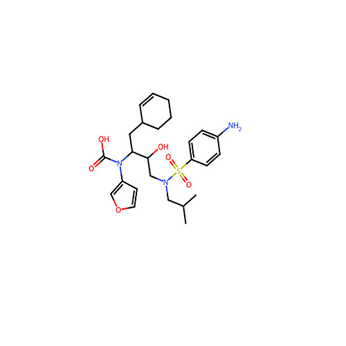 CC(C)CN(CC(O)C(CC1C=CCCC1)N(C(=O)O)c1ccoc1)S(=O)(=O)c1ccc(N)cc1